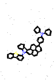 c1ccc(N(c2ccccc2)c2ccc(-c3ccc4ccc5cc6c(c7ccc3c4c57)c3ccccc3n6-c3cccc4c3sc3ccccc34)cc2)cc1